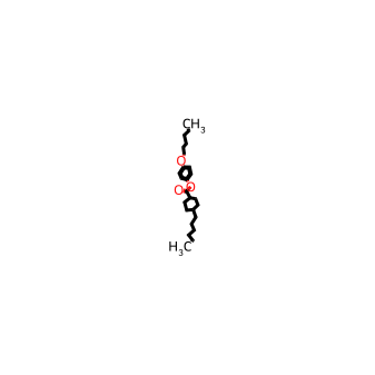 CCCCCCOc1ccc(OC(=O)C2CCC(CCCCCC)CC2)cc1